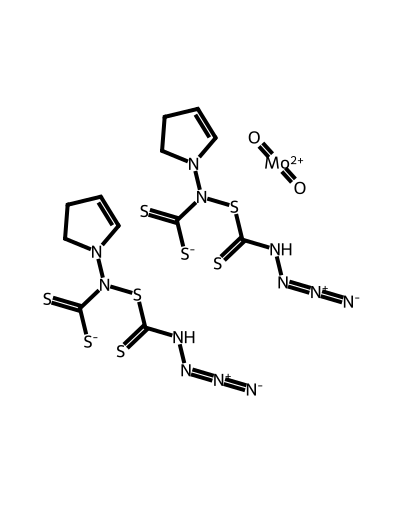 [N-]=[N+]=NNC(=S)SN(C(=S)[S-])N1C=CCC1.[N-]=[N+]=NNC(=S)SN(C(=S)[S-])N1C=CCC1.[O]=[Mo+2]=[O]